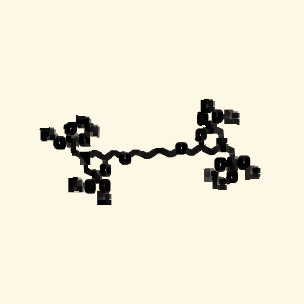 CCO[Si](CN1CC(COCCCCOCC2CN(C[Si](OCC)(OCC)OCC)C[Si](OCC)(OCC)O2)O[Si](OCC)(OCC)C1)(OCC)OCC